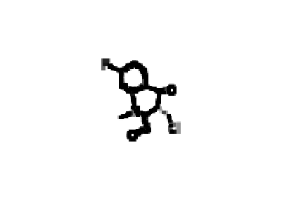 CN1C(=S=O)[C@@H](CCl)C(=O)c2ccc(F)cc21